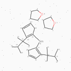 C1CCOC1.C1CCOC1.CC(C)C(C)(C)C1=[C]([Sm][C]2=C(C(C)(C)C(C)C)C=CC2)CC=C1